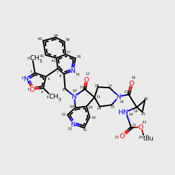 Cc1noc(C)c1-c1c(CN2C(=O)C3(CCN(C(=O)C4(NC(=O)OC(C)(C)C)CC4)CC3)c3ccncc32)ncc2ccccc12